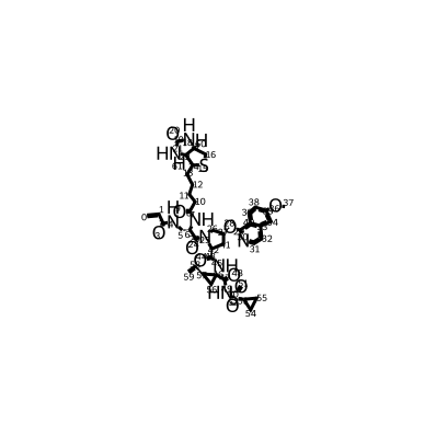 C=CC(=O)NC[C@H](NC(=O)CCCCC1SC[C@H]2NC(=O)N[C@@H]12)C(=O)N1C[C@H](Oc2nccc3cc(OC)ccc23)C[C@H]1C(=O)N[C@]1(C(=O)NS(=O)(=O)C2CC2)C[C@H]1C=C